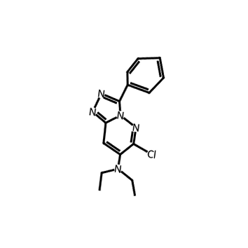 CCN(CC)c1cc2nnc(-c3ccccc3)n2nc1Cl